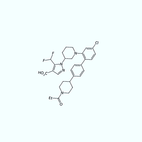 CCC(=O)N1CCC(c2ccc(-c3ccc(Cl)cc3N3CCCC(n4ncc(C(=O)O)c4C(F)F)C3)cc2)CC1